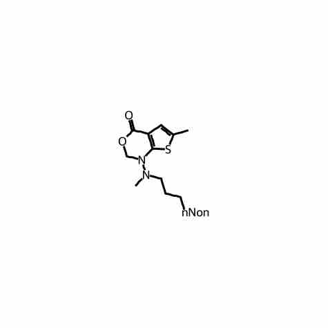 CCCCCCCCCCCCN(C)N1COC(=O)c2cc(C)sc21